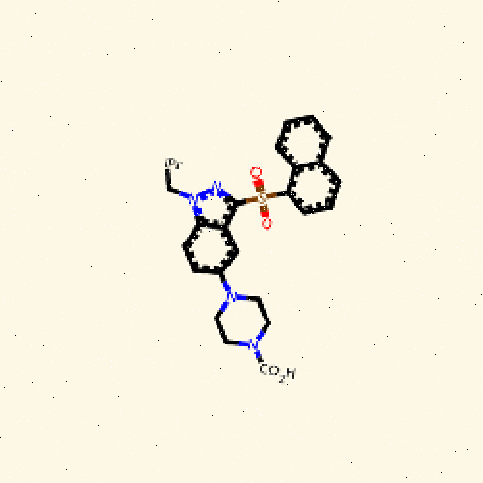 CC(C)Cn1nc(S(=O)(=O)c2cccc3ccccc23)c2cc(N3CCN(C(=O)O)CC3)ccc21